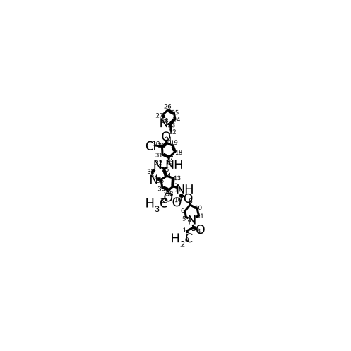 C=CC(=O)N1CCC(OC(=O)Nc2cc3c(Nc4ccc(OCc5ccccn5)c(Cl)c4)ncnc3cc2OC)CC1